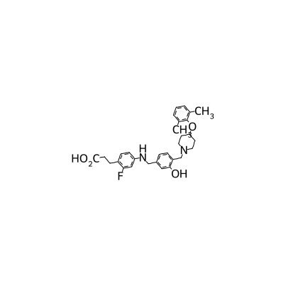 Cc1cccc(C)c1OC1CCN(Cc2ccc(CNc3ccc(CCC(=O)O)c(F)c3)cc2O)CC1